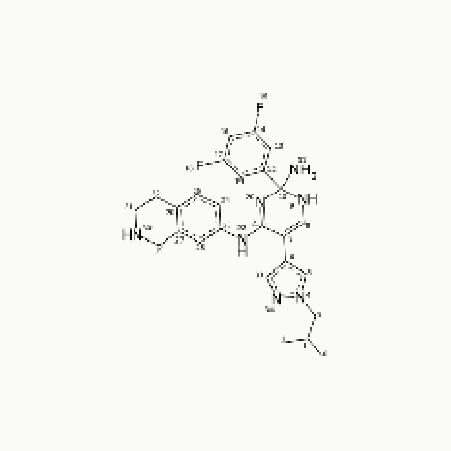 CC(C)Cn1cc(C2=CNC(N)(c3cc(F)cc(F)c3)N=C2Nc2ccc3c(c2)CNCC3)cn1